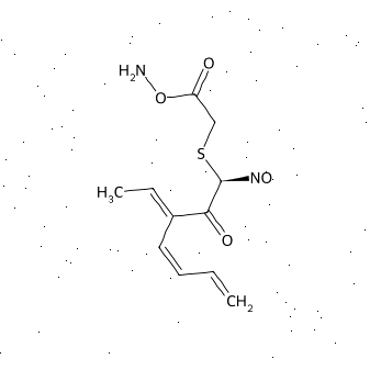 C=C/C=C\C(=C/C)C(=O)[C@H](N=O)SCC(=O)ON